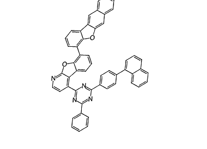 c1ccc(-c2nc(-c3ccc(-c4cccc5ccccc45)cc3)nc(-c3ccnc4oc5c(-c6cccc7c6oc6cc8ccccc8cc67)cccc5c34)n2)cc1